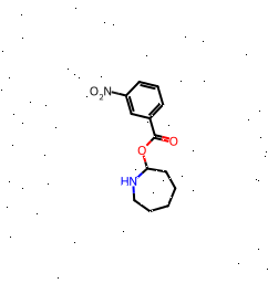 O=C(OC1CCCCCN1)c1cccc([N+](=O)[O-])c1